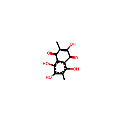 CC1=C(O)C(=O)c2c(O)c(C)c(O)c(O)c2C1=O